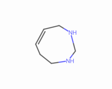 C1=C\CNCNCC/1